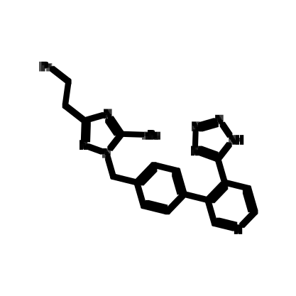 CCCCc1nc(CCC(C)C)nn1Cc1ccc(-c2cnccc2-c2nnn[nH]2)cc1